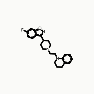 Fc1ccc2c(C3CCN(CCN4CCCc5ccccc54)CC3)noc2c1